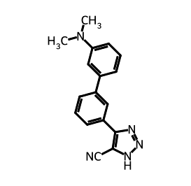 CN(C)c1cccc(-c2cccc(-c3nn[nH]c3C#N)c2)c1